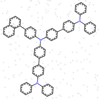 c1ccc(N(c2ccccc2)c2ccc(-c3ccc(N(c4ccc(-c5ccc(N(c6ccccc6)c6ccccc6)cc5)cc4)c4ccc(-c5cccc6ccccc56)cc4)cc3)cc2)cc1